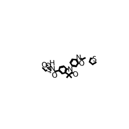 C1CCSC1.Cc1nc2ccc(N3C(=O)C(C)(C)c4cc(C(=O)NS5(C)CCOO5)ccc43)cc2o1